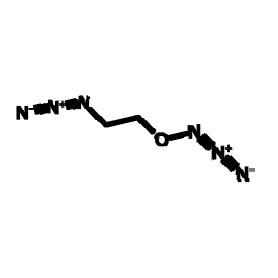 [N-]=[N+]=NCCON=[N+]=[N-]